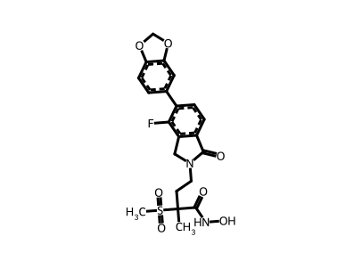 CC(CCN1Cc2c(ccc(-c3ccc4c(c3)OCO4)c2F)C1=O)(C(=O)NO)S(C)(=O)=O